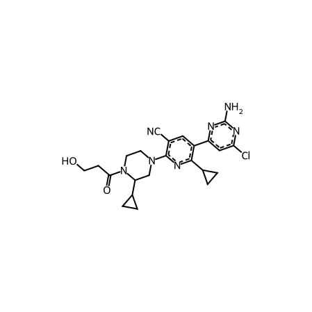 N#Cc1cc(-c2cc(Cl)nc(N)n2)c(C2CC2)nc1N1CCN(C(=O)CCO)C(C2CC2)C1